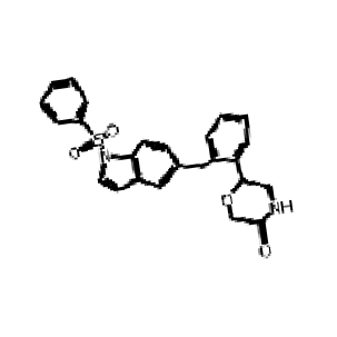 O=C1COC(c2ccccc2Cc2ccc3c(ccn3S(=O)(=O)c3ccccc3)c2)CN1